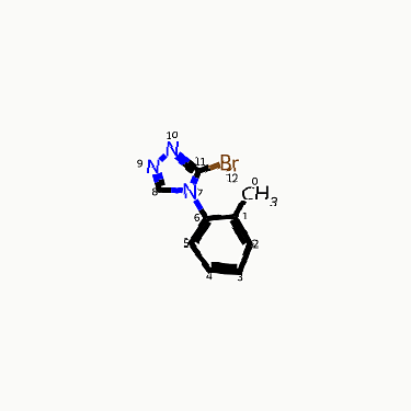 Cc1ccccc1-n1cnnc1Br